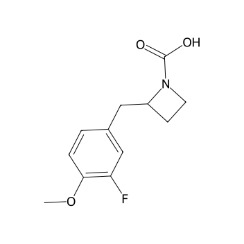 COc1ccc(CC2CCN2C(=O)O)cc1F